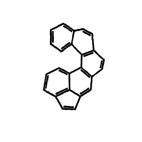 C1=Cc2cc3ccc4ccc5ccccc5c4c3c3cccc1c23